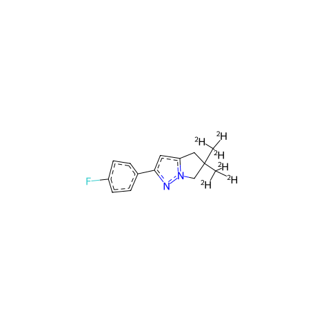 [2H]C([2H])([2H])C1(C([2H])([2H])[2H])Cc2cc(-c3ccc(F)cc3)nn2C1